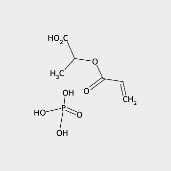 C=CC(=O)OC(C)C(=O)O.O=P(O)(O)O